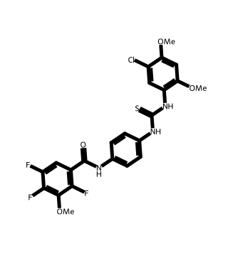 COc1cc(OC)c(NC(=S)Nc2ccc(NC(=O)c3cc(F)c(F)c(OC)c3F)cc2)cc1Cl